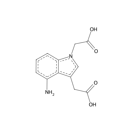 Nc1cccc2c1c(CC(=O)O)cn2CC(=O)O